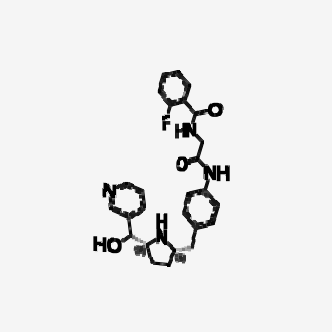 O=C(CNC(=O)c1ccccc1F)Nc1ccc(C[C@@H]2CC[C@H](C(O)c3cccnc3)N2)cc1